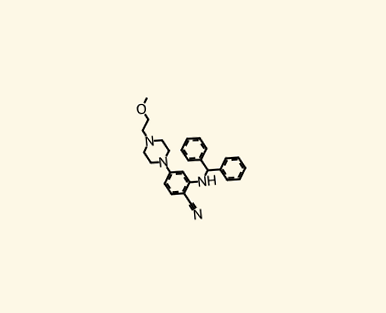 COCCN1CCN(c2ccc(C#N)c(NC(c3ccccc3)c3ccccc3)c2)CC1